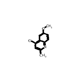 COc1ccc2nc(C)cc(Cl)c2c1